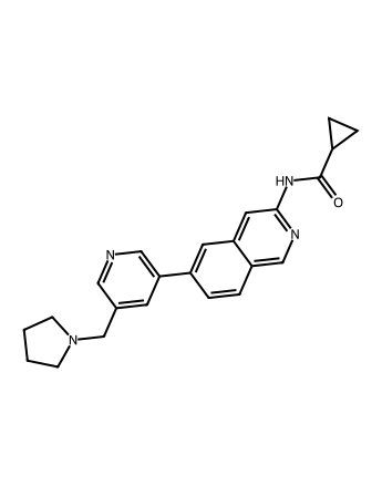 O=C(Nc1cc2cc(-c3cncc(CN4CCCC4)c3)ccc2cn1)C1CC1